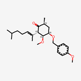 COc1ccc(CO[C@@H]2C[C@H](C)C(=O)[C@@H](C(C)=CCCC(C)C)[C@@H]2OC)cc1